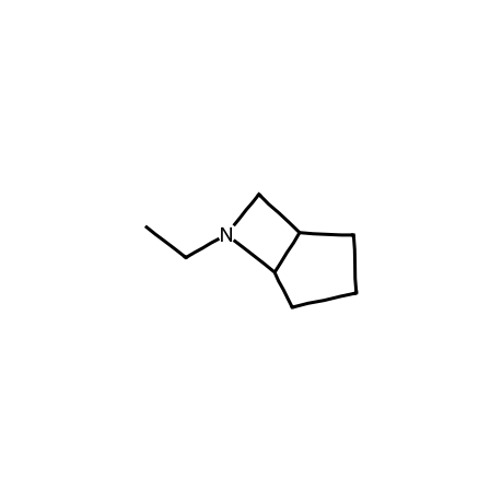 CCN1CC2CCCC21